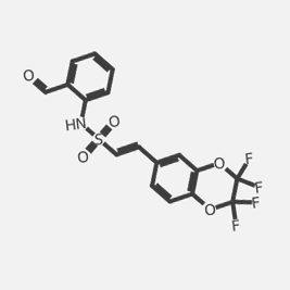 O=Cc1ccccc1NS(=O)(=O)/C=C/c1ccc2c(c1)OC(F)(F)C(F)(F)O2